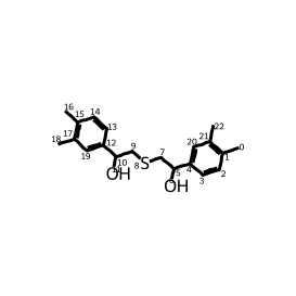 Cc1ccc(C(O)CSCC(O)c2ccc(C)c(C)c2)cc1C